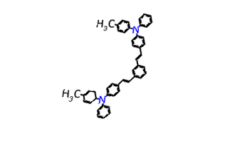 CC1=CCC(N(c2ccccc2)c2ccc(C=Cc3cccc(C=Cc4ccc(N(c5ccccc5)c5ccc(C)cc5)cc4)c3)cc2)C=C1